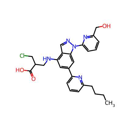 CCCCc1cccc(-c2cc(NCC(CCl)C(=O)O)c3cnn(-c4cccc(CO)n4)c3c2)n1